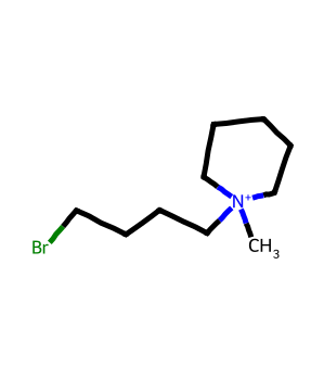 C[N+]1(CCCCBr)CCCCC1